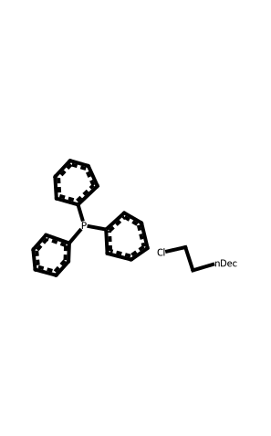 CCCCCCCCCCCCCl.c1ccc(P(c2ccccc2)c2ccccc2)cc1